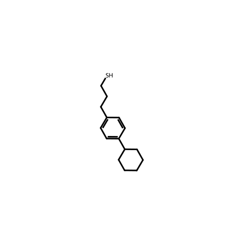 SCCCc1ccc(C2CCCCC2)cc1